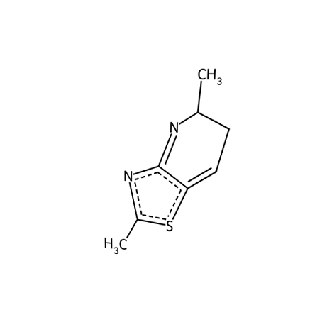 Cc1nc2c(s1)=CCC(C)N=2